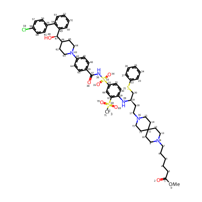 COC(=O)CCCCCN1CCC2(CC1)CCN(CC[C@H](CSc1ccccc1)Nc1ccc(S(=O)(=O)NC(=O)c3ccc(N4CCC([C@@H](O)c5ccccc5-c5ccc(Cl)cc5)CC4)cc3)cc1S(=O)(=O)C(F)(F)F)CC2